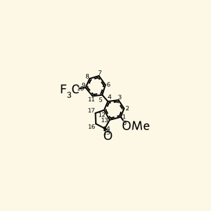 COc1ccc(-c2cccc(C(F)(F)F)c2)c2c1C(=O)CC2